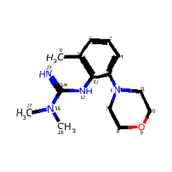 Cc1cccc(N2CCOCC2)c1NC(=N)N(C)C